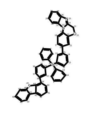 c1ccc([Si](c2ccccc2)(c2cccc(-c3ccc4c(c3)OCc3nc5ccccc5n3-4)c2)c2cccc(-c3cccc4c3sc3ccccc34)c2)cc1